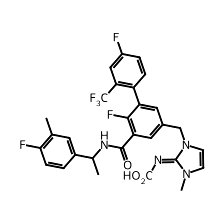 Cc1cc(C(C)NC(=O)c2cc(Cn3ccn(C)c3=NC(=O)O)cc(-c3ccc(F)cc3C(F)(F)F)c2F)ccc1F